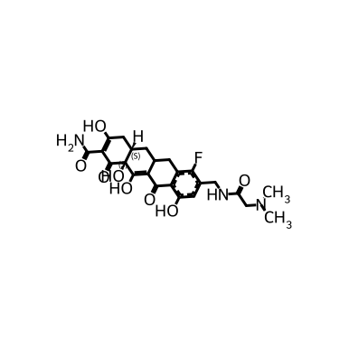 CN(C)CC(=O)NCc1cc(O)c2c(c1F)CC1C[C@H]3CC(O)=C(C(N)=O)C(=O)[C@@]3(O)C(O)=C1C2=O